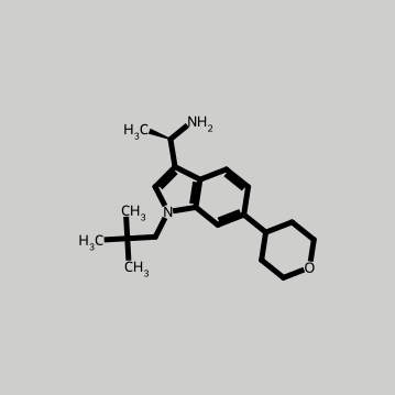 C[C@@H](N)c1cn(CC(C)(C)C)c2cc(C3CCOCC3)ccc12